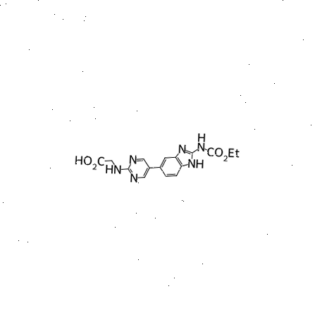 CCOC(=O)Nc1nc2cc(-c3cnc(NCC(=O)O)nc3)ccc2[nH]1